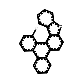 Clc1cccc2c3ccccc3c3ccc4oc5ccccc5c4c3c12